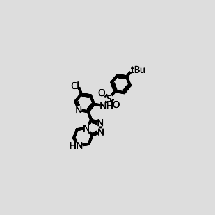 CC(C)(C)c1ccc(S(=O)(=O)Nc2cc(Cl)cnc2-c2nnc3n2CCNC3)cc1